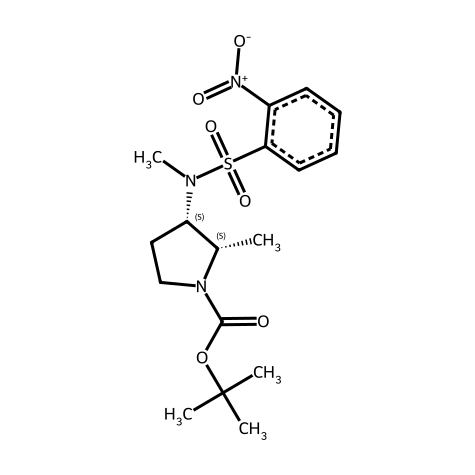 C[C@H]1[C@@H](N(C)S(=O)(=O)c2ccccc2[N+](=O)[O-])CCN1C(=O)OC(C)(C)C